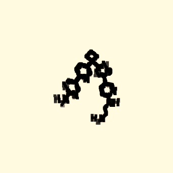 NCCNc1ccc(-c2nc(C3(c4ccc(-c5cnc(N)nc5)nc4)CCC3)no2)cn1